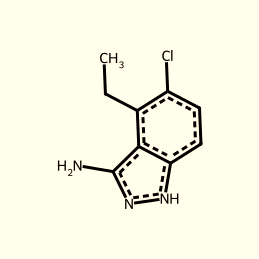 CCc1c(Cl)ccc2[nH]nc(N)c12